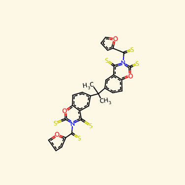 CC(C)(c1ccc2oc(=S)n(C(=S)c3ccco3)c(=S)c2c1)c1ccc2oc(=S)n(C(=S)c3ccco3)c(=S)c2c1